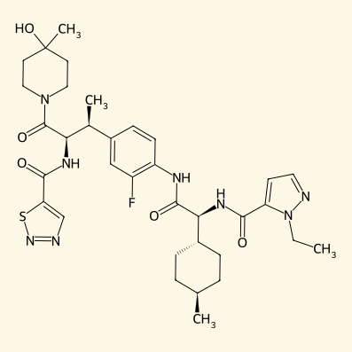 CCn1nccc1C(=O)N[C@H](C(=O)Nc1ccc([C@H](C)[C@@H](NC(=O)c2cnns2)C(=O)N2CCC(C)(O)CC2)cc1F)[C@H]1CC[C@H](C)CC1